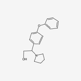 OCC(c1ccc(Oc2ccccc2)cc1)N1CCCC1